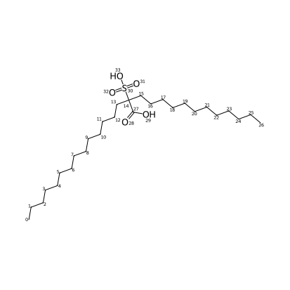 CCCCCCCCCCCCCCC(CCCCCCCCCCCC)(C(=O)O)S(=O)(=O)O